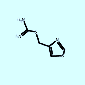 N=C(N)SCc1cscn1